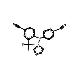 N#Cc1ccc(N(c2ccc(C#N)cc2C(F)(F)F)n2ccnc2)cc1